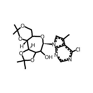 Cc1cn([C@@H]2OC3COC(C)(C)O[C@H]3[C@@H]3OC(C)(C)OC3C2O)c2ncnc(Cl)c12